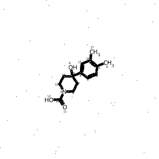 Cc1ccc(C2(O)CCN(C(=O)O)CC2)cc1C